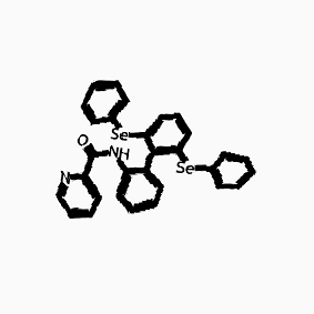 O=C(Nc1ccccc1-c1c([Se]c2ccccc2)cccc1[Se]c1ccccc1)c1ccccn1